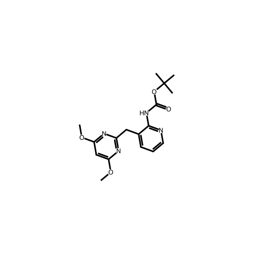 COc1cc(OC)nc(Cc2cccnc2NC(=O)OC(C)(C)C)n1